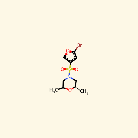 CC1CN(S(=O)(=O)c2coc(Br)c2)C[C@H](C)O1